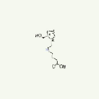 O=C(O)CCC/C=C\C[C@H]1CSC[C@@H]1CO